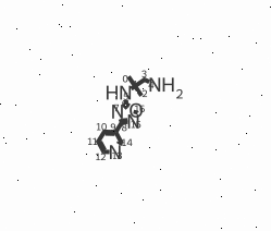 CC(C)(CN)Nc1nc(-c2cccnc2)no1